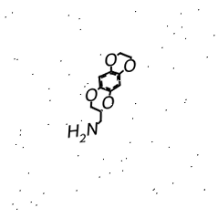 NCC1COc2cc3c(cc2O1)OCCO3